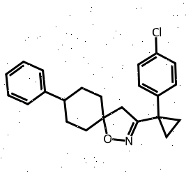 Clc1ccc(C2(C3=NOC4(CCC(c5ccccc5)CC4)C3)CC2)cc1